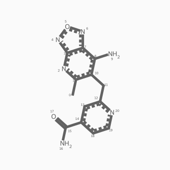 Cc1nc2nonc2c(N)c1Cc1cc(C(N)=O)ccn1